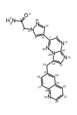 NC(=O)Cn1cc(-c2cnc3ncc(Cc4ccc5ncccc5c4)n3n2)cn1